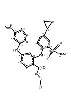 CCONC(=O)c1cnc(Nc2ccnc(OC)n2)cc1Nc1ccc(C2CC2)cc1S(=O)(=O)NC